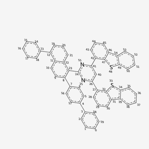 c1ccc(-c2ccc(-c3ccc4c(-c5ccccc5)cccc4c3-c3nc(-c4cccc5c4sc4ccccc45)cc(-c4cccc5c4sc4ccccc45)n3)cc2)cc1